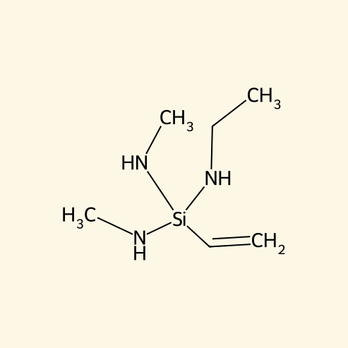 C=C[Si](NC)(NC)NCC